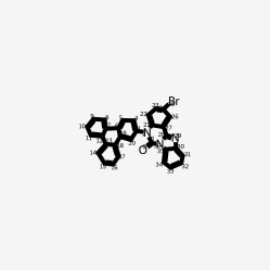 O=c1n(-c2ccc3c4ccccc4c4ccccc4c3c2)c2ccc(Br)cc2c2nc3ccccc3n12